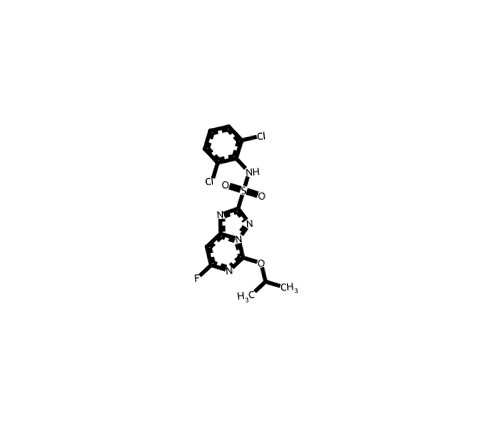 CC(C)Oc1nc(F)cc2nc(S(=O)(=O)Nc3c(Cl)cccc3Cl)nn12